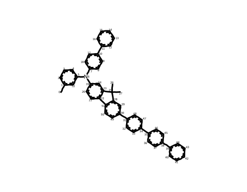 Cc1cccc(N(c2ccc(-c3ccccc3)cc2)c2ccc3c(c2)C(C)(C)c2cc(-c4ccc(-c5ccc(-c6ccccc6)cc5)cc4)ccc2-3)c1